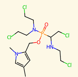 Cc1cc(COP(=O)(C(CCl)NCCCl)N(CCCl)CCCl)n(C)c1